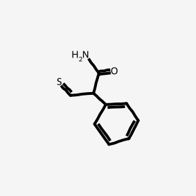 NC(=O)C(C=S)c1ccccc1